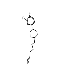 F/C=C/CCCC[C@H]1CC[C@H](c2ccc(F)c(F)c2)CC1